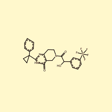 O=C(C(O)c1cccc(S(F)(F)(F)(F)F)c1)N1CCc2nc(C3(c4ccccc4)CC3)[nH]c(=O)c2C1